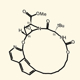 COC(=O)[C@@H]1C[C@H]2Oc3nccc4ccc(cc34)CCCCCOC(=O)N[C@@H](C(C)(C)C)C(=O)N1C2O